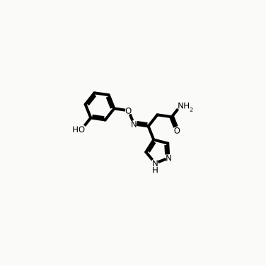 NC(=O)C/C(=N\Oc1cccc(O)c1)c1cn[nH]c1